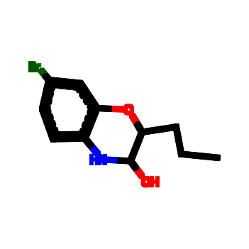 CCCC1Oc2cc(Br)ccc2NC1O